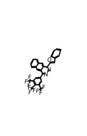 FC(F)(F)c1cc(-c2nnc(-c3cc4ccccc4o3)c3cc4ccccc4cc23)cc(C(F)(F)F)c1C(F)(F)F